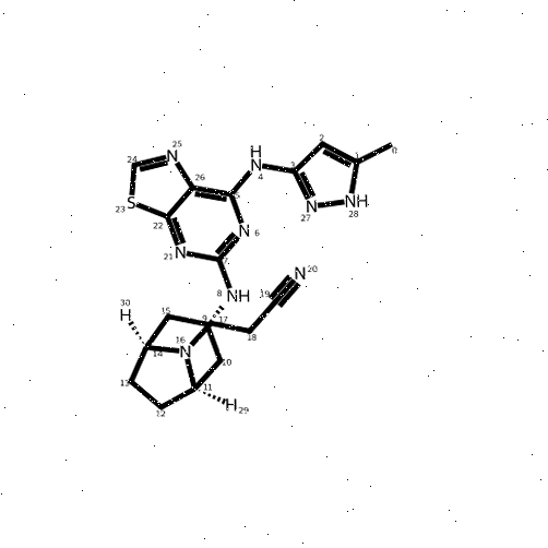 Cc1cc(Nc2nc(N[C@@H]3C[C@H]4CC[C@@H](C3)N4CCC#N)nc3scnc23)n[nH]1